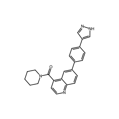 O=C(c1ccnc2ccc(-c3ccc(-c4cn[nH]c4)cc3)cc12)N1CCCCC1